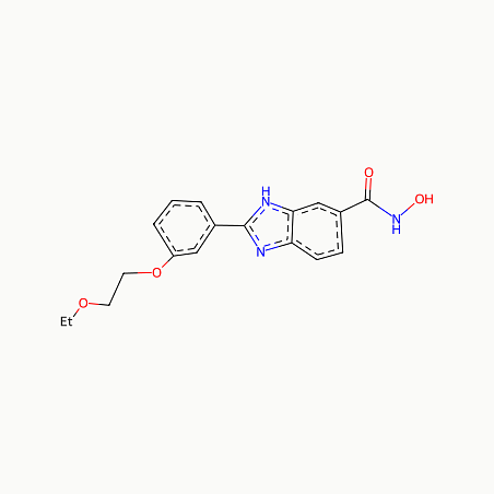 CCOCCOc1cccc(-c2nc3ccc(C(=O)NO)cc3[nH]2)c1